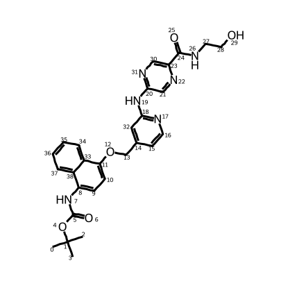 CC(C)(C)OC(=O)Nc1ccc(OCc2ccnc(Nc3cnc(C(=O)NCCO)cn3)c2)c2ccccc12